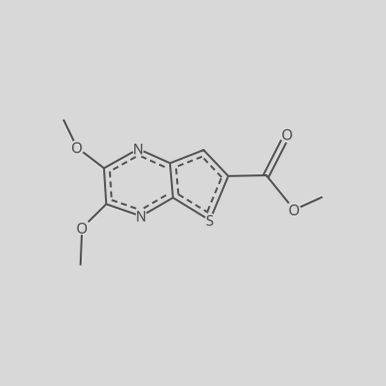 COC(=O)c1cc2nc(OC)c(OC)nc2s1